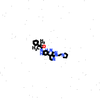 CC(C)(C(=O)Nc1ccc(-c2ccnc3c2c(N)nn3CCN2CCCC2)cc1)c1ccccc1